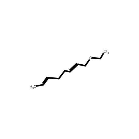 CC=CCCC=CCOCC(F)(F)F